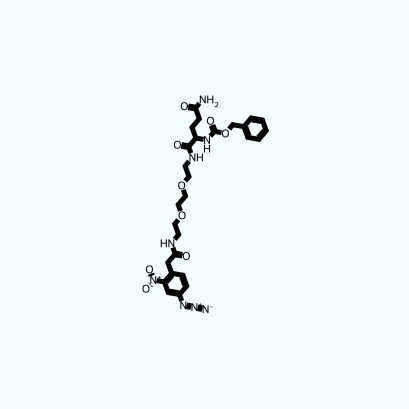 [N-]=[N+]=Nc1ccc(CC(=O)NCCOCCOCCNC(=O)C(CCC(N)=O)NC(=O)OCc2ccccc2)c([N+](=O)[O-])c1